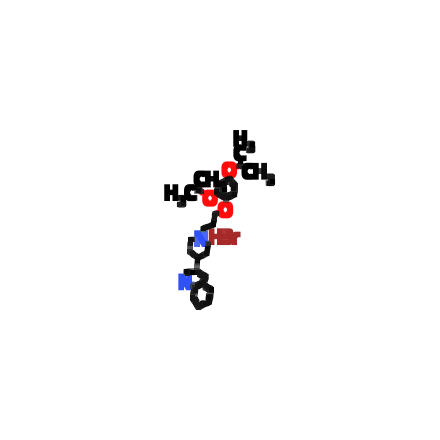 Br.CC(C)Oc1ccc(OCCCN2CCC(c3cnc4ccccc4c3)CC2)c(OC(C)C)c1